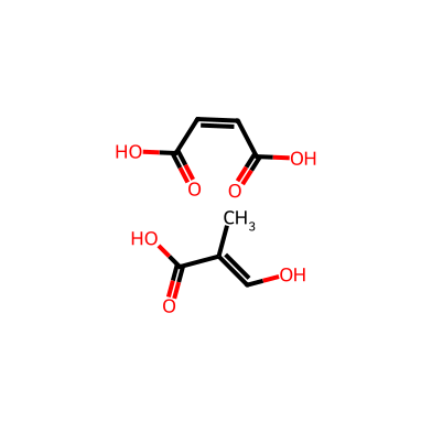 C/C(=C\O)C(=O)O.O=C(O)/C=C\C(=O)O